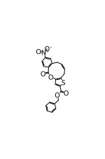 O=C(OCc1ccccc1)c1cc2c(s1)C/C=C\Cc1cc([N+](=O)[O-])ccc1C(=O)O2